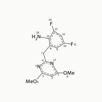 COc1cc(OC)nc(Cc2cc(F)cc(F)c2N)n1